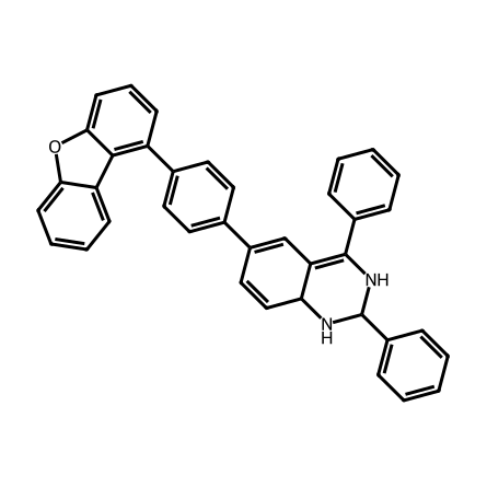 C1=CC2NC(c3ccccc3)NC(c3ccccc3)=C2C=C1c1ccc(-c2cccc3oc4ccccc4c23)cc1